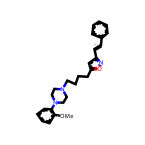 COc1ccccc1N1CCN(CCCCc2cc(/C=C/c3ccccc3)no2)CC1